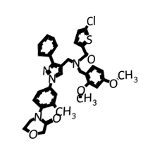 COc1ccc(CN(Cc2cn(-c3ccc(N4CCOCC4=O)c(C)c3)nc2-c2ccccc2)C(=O)c2ccc(Cl)s2)c(OC)c1